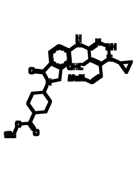 CN/C=C\C1=C(C=O)C(Nc2ccc3c(c2)CN(C2CCC(C(=O)OC(C)(C)C)CC2)C3=O)=NNN1C1CC1